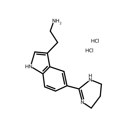 Cl.Cl.NCCc1c[nH]c2ccc(C3=NCCCN3)cc12